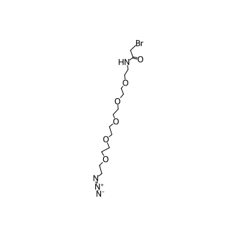 [N-]=[N+]=NCCOCCOCCOCCOCCOCCNC(=O)CBr